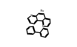 [Ru].c1ccc(-c2ccccc2)cc1.c1cnc2c(c1)ccc1ncccc12